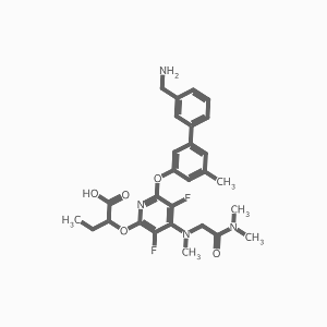 CCC(Oc1nc(Oc2cc(C)cc(-c3cccc(CN)c3)c2)c(F)c(N(C)CC(=O)N(C)C)c1F)C(=O)O